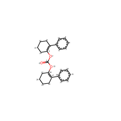 O=C(OC1=C(c2ccccc2)CCCC1)OC1=C(c2ccccc2)CCCC1